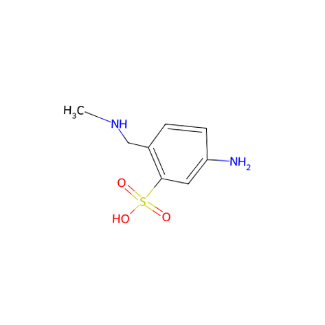 CNCc1ccc(N)cc1S(=O)(=O)O